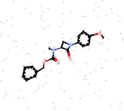 COc1ccc(N2C[C@H](N(C)C(=O)OCc3ccccc3)C2=O)cc1